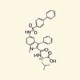 CC(C)C[C@H](NC(=O)c1c(-c2ccccc2)c2cc(NS(=O)(=O)c3ccc(-c4ccccc4)cc3)ccc2n1C)C(=O)O